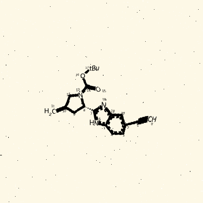 C#Cc1ccc2[nH]c([C@@H]3CC(=C)CN3C(=O)OC(C)(C)C)nc2c1